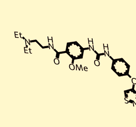 CCN(CC)CCNC(=O)c1ccc(NC(=O)Nc2ccc(Oc3cnsc3)cc2)cc1OC